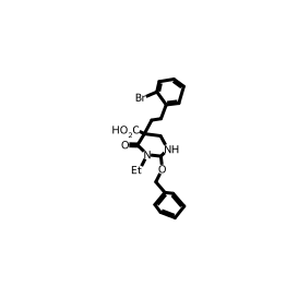 CCN1C(=O)C(CCc2ccccc2Br)(C(=O)O)CNC1OCc1ccccc1